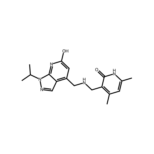 Cc1cc(C)c(CNCc2cc(O)nc3c2cnn3C(C)C)c(=O)[nH]1